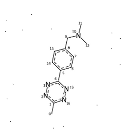 Cc1nnc(-c2ccc(CN(C)C)cc2)nn1